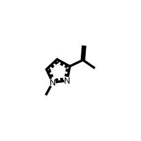 C=C(C)c1ccn(C)n1